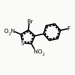 O=[N+]([O-])c1sc([N+](=O)[O-])c(-c2ccc(F)cc2)c1Br